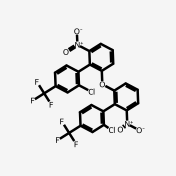 O=[N+]([O-])c1cccc(Oc2cccc([N+](=O)[O-])c2-c2ccc(C(F)(F)F)cc2Cl)c1-c1ccc(C(F)(F)F)cc1Cl